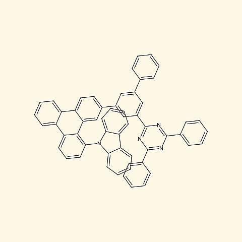 c1ccc(-c2cc(-c3ccc4c5ccccc5c5cccc(-n6c7ccccc7c7ccccc76)c5c4c3)cc(-c3nc(-c4ccccc4)nc(-c4ccccc4)n3)c2)cc1